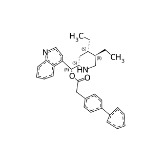 CC[C@H]1CN[C@H]([C@H](OC(=O)Cc2ccc(-c3ccccc3)cc2)c2ccnc3ccccc23)C[C@@H]1CC